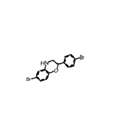 Brc1ccc(C2CNc3cc(Br)ccc3O2)cc1